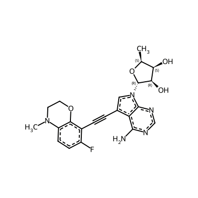 C[C@@H]1O[C@@H](n2cc(C#Cc3c(F)ccc4c3OCCN4C)c3c(N)ncnc32)[C@H](O)[C@@H]1O